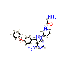 NCC(=O)CN1CCC[C@@H](n2nc(-c3ccc(Oc4ccccc4)cc3)c3c(N)ncnc32)C1